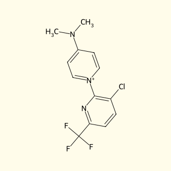 CN(C)c1cc[n+](-c2nc(C(F)(F)F)ccc2Cl)cc1